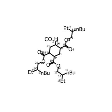 CCCCC(CC)COC(=O)C1CC(C(=O)OCC(CC)CCCC)C(C(=O)OCC(CC)CCCC)CC1C(=O)O